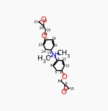 C[N+](C)(C1=CCC(OCC2CO2)C=C1)C1C=CC(OCC2CO2)=CC1